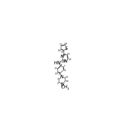 CN1CCN(c2ccc(Nc3nccc(-c4cccs4)n3)cc2)CC1